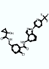 O=C(Nc1cccc2c1cnn2-c1ccc(C(F)(F)F)nc1)c1cc(CNC(=O)C2(O)CC2)ccc1Cl